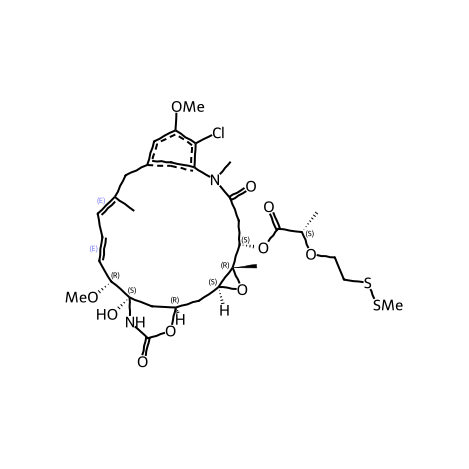 COc1cc2cc(c1Cl)N(C)C(=O)C[C@H](OC(=O)[C@H](C)OCCSSC)[C@]1(C)O[C@H]1C[C@@H]1C[C@@](O)(NC(=O)O1)[C@H](OC)/C=C/C=C(\C)C2